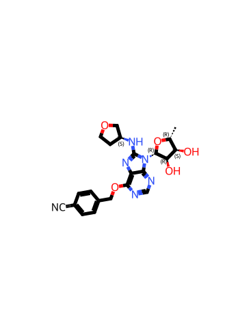 C[C@H]1O[C@@H](n2c(N[C@H]3CCOC3)nc3c(OCc4ccc(C#N)cc4)ncnc32)[C@H](O)[C@@H]1O